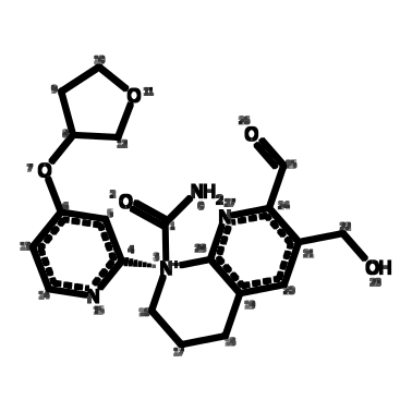 NC(=O)[N@+]1(c2cc(OC3CCOC3)ccn2)CCCc2cc(CO)c(C=O)nc21